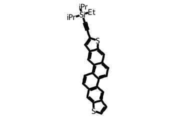 CC[Si](C#Cc1cc2cc3c(ccc4c5cc6ccsc6cc5ccc34)cc2s1)(C(C)C)C(C)C